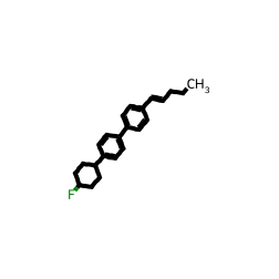 CCCC=Cc1ccc(-c2ccc(C3CCC(F)CC3)cc2)cc1